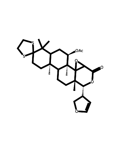 CC(=O)O[C@@H]1CC2C(C)(C)C3(CC[C@]2(C)C2CC[C@@]4(C)[C@@H](C5C=COC5)OC(=O)C5OC54[C@@]21C)SCCS3